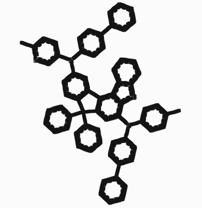 Cc1ccc(N(c2ccc(-c3ccccc3)cc2)c2cc3c(c4c2oc2ccccc24)-c2cc(N(c4ccc(-c5ccccc5)cc4)c4ccc(C)nc4)ccc2C3(c2ccccc2)c2ccccc2)cc1